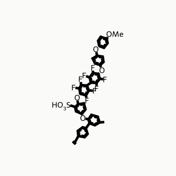 C#Cc1ccc(-c2cc(C)ccc2Oc2ccc(Oc3c(F)c(F)c(-c4c(F)c(F)c(Oc5ccc(Oc6ccc(OC)cc6)cc5)c(F)c4F)c(F)c3F)c(S(=O)(=O)O)c2)cc1